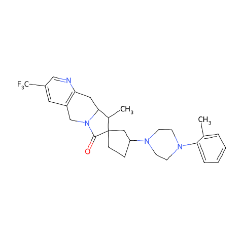 Cc1ccccc1N1CCN(C2CCC3(C2)C(=O)N2Cc4cc(C(F)(F)F)cnc4CC2C3C)CC1